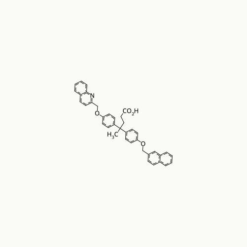 CC(CCC(=O)O)(c1ccc(OCc2ccc3ccccc3c2)cc1)c1ccc(OCc2ccc3ccccc3n2)cc1